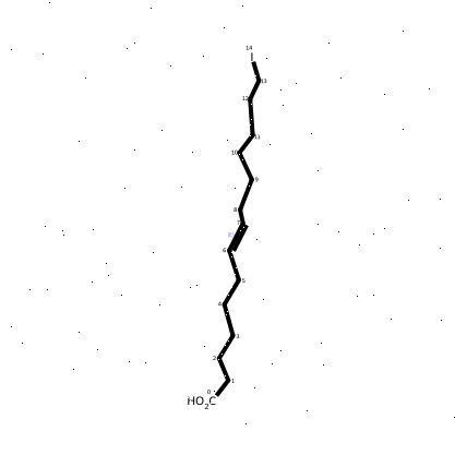 O=C(O)CCCCC/C=C/CCCCCCI